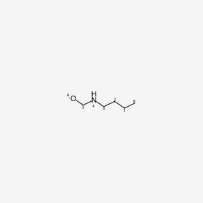 CCCCNC[O]